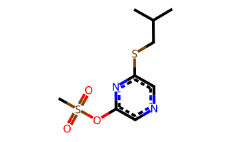 CC(C)CSc1cncc(OS(C)(=O)=O)n1